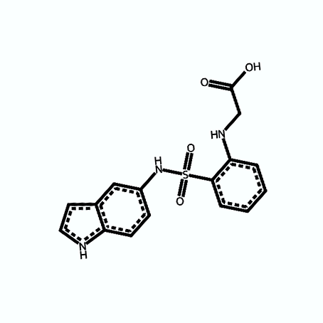 O=C(O)CNc1ccccc1S(=O)(=O)Nc1ccc2[nH]ccc2c1